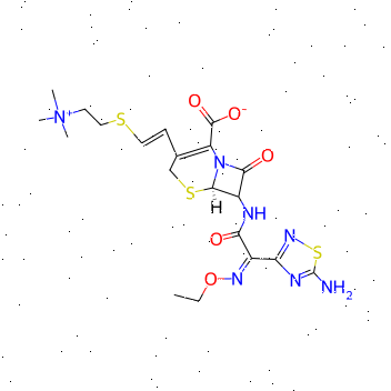 CCO/N=C(\C(=O)NC1C(=O)N2C(C(=O)[O-])=C(/C=C/SCC[N+](C)(C)C)CS[C@H]12)c1nsc(N)n1